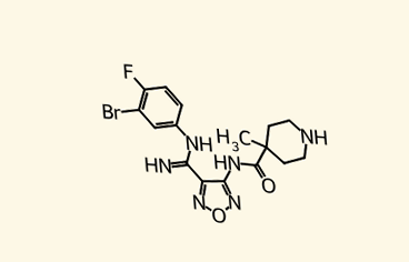 CC1(C(=O)Nc2nonc2C(=N)Nc2ccc(F)c(Br)c2)CCNCC1